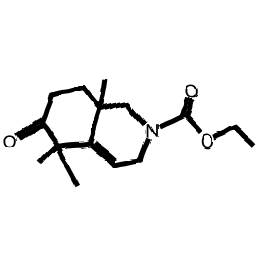 CCOC(=O)N1CC=C2C(C)(CCC(=O)C2(C)C)C1